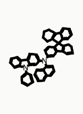 C1=CC2=C(CC1)C1(C3=C(CCCC3)c3ccccc31)c1ccc(N(c3ccc4c5ccccc5n(-c5ccccc5)c4c3)c3cccc4ccccc34)cc12